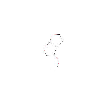 COC1COC2OCCC12